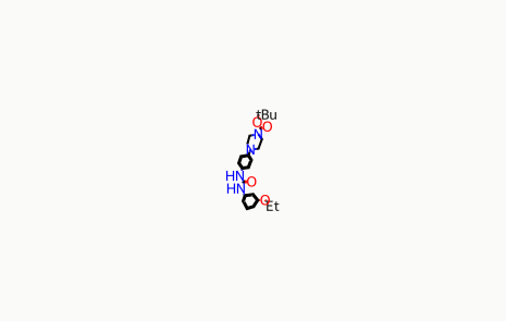 CCOc1cccc(NC(=O)Nc2ccc(N3CCN(C(=O)OC(C)(C)C)CC3)cc2)c1